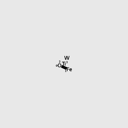 [O]=[Fe].[Ti].[W]